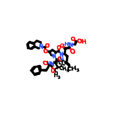 C=C(CC)CC(NC(=O)[C@@H]1C[C@@H](OC(=O)N2CCc3ccccc3C2)CN1C(=O)[C@@H](NC(=O)C(=O)Cc1ccccc1)C(C)C)C(=O)C(=O)NCC(=O)O